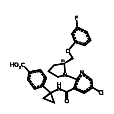 O=C(O)c1ccc(C2(NC(=O)c3cc(Cl)cnc3N3CCC[C@H]3COc3cccc(F)c3)CC2)cc1